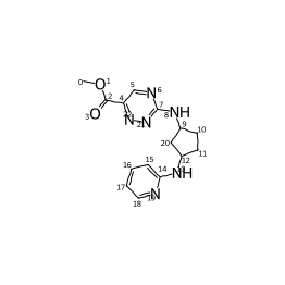 COC(=O)c1cnc(NC2CCC(Nc3ccccn3)C2)nn1